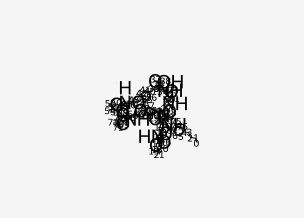 CCCCc1ccc(C(=O)N[C@@H](CCNC(=O)OC(C)(C)C)C(=O)N(C)[C@@H]2C(=O)N[C@@H](C)C(=O)N[C@H](C(=O)O)Cc3ccc(OCCNC(=O)OC(C)(C)C)c(c3)-c3cc2ccc3OCCNC(=O)OC(C)(C)C)c(C)c1